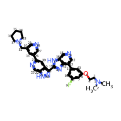 CN(C)CCOc1cc(F)cc(-c2cncc3[nH]c(-c4n[nH]c5cnc(-c6cncc(CN7CCCCC7)c6)cc45)nc23)c1